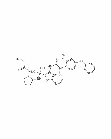 CCC(=O)N[C@H]1CCC[C@H]1NC(C)(O)c1sc2nccc3c2c1NC(=O)N3c1ccc(Oc2ccccc2)nc1C